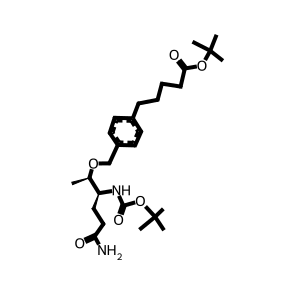 C[C@@H](OCc1ccc(CCCCC(=O)OC(C)(C)C)cc1)[C@H](CCC(N)=O)NC(=O)OC(C)(C)C